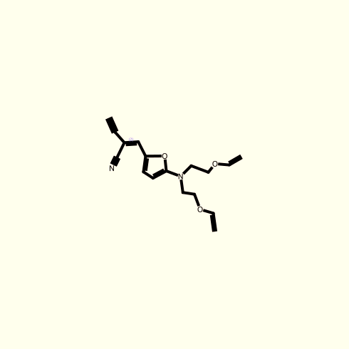 C#C/C(C#N)=C/c1ccc(N(CCOC=C)CCOC=C)o1